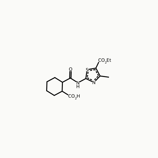 CCOC(=O)c1sc(NC(=O)C2CCCCC2C(=O)O)nc1C